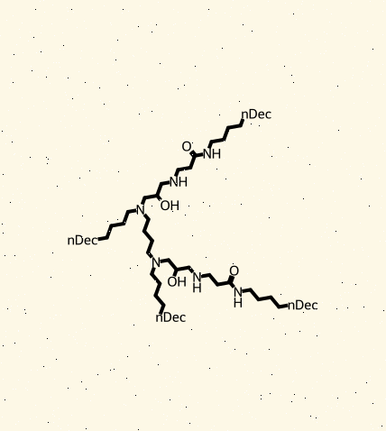 CCCCCCCCCCCCCCNC(=O)CCNCC(O)CN(CCCCCCCCCCCCCC)CCCCN(CCCCCCCCCCCCCC)CC(O)CNCCC(=O)NCCCCCCCCCCCCCC